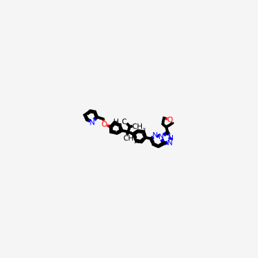 CC(C)C(C)(c1ccc(OCc2ccccn2)cc1)c1ccc(-c2ccc3nnc(C4CCOC4)n3n2)cc1